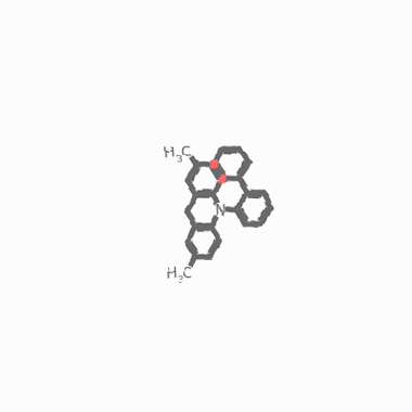 Cc1ccc2c(c1)Cc1cc(C)ccc1N2c1ccccc1-c1ccccc1